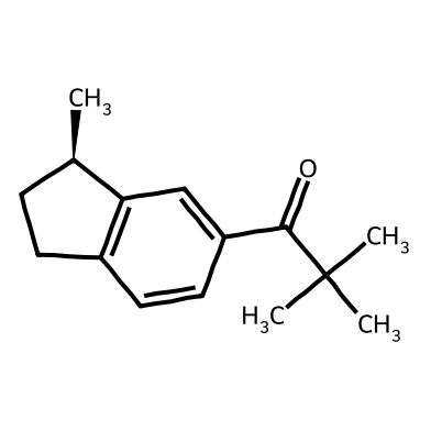 C[C@@H]1CCc2ccc(C(=O)C(C)(C)C)cc21